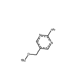 CCCc1ncc(COC(C)(C)C)cn1